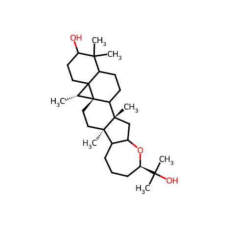 C[C@@H]1C23CCC(O)C(C)(C)C2CCC2[C@]4(C)CC5O[C@@H](C(C)(C)O)CCCC5[C@@]4(C)CC[C@@]213